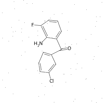 Nc1c(F)cccc1C(=O)c1cccc(Cl)c1